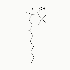 CCCCCCC(C)C1CC(C)(C)N(O)C(C)(C)C1